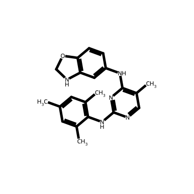 Cc1cc(C)c(Nc2ncc(C)c(Nc3ccc4c(c3)NCO4)n2)c(C)c1